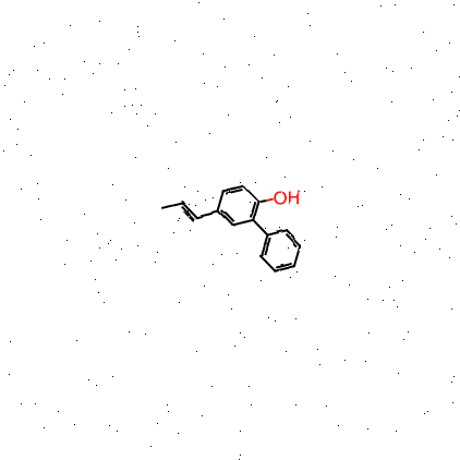 CC=Cc1ccc(O)c(-c2ccccc2)c1